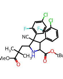 COC(=O)C(C)(C)CC1NC(C(=O)OC(C)(C)C)C(c2cccc(Cl)c2F)C1(C#N)c1ccc(Cl)cc1F